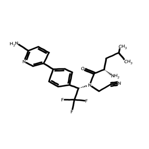 CC(C)C[C@H](N)C(=O)N(CC#N)[C@@H](c1ccc(-c2ccc(N)nc2)cc1)C(F)(F)F